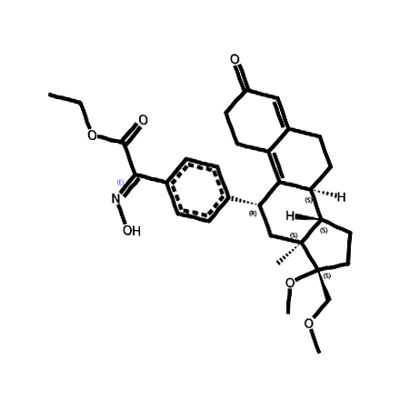 CCOC(=O)/C(=N/O)c1ccc([C@H]2C[C@@]3(C)[C@@H](CC[C@]3(COC)OC)[C@@H]3CCC4=CC(=O)CCC4=C32)cc1